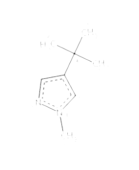 Cn1cc(C(C)(C)C)cn1